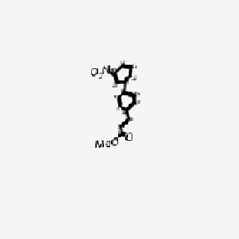 COC(=O)C=Cc1ccc(-c2cccc([N+](=O)[O-])c2)cc1